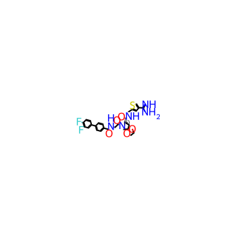 N=C(N)c1csc(CNC(=O)[C@@H]2CC3(CN2C(=O)CNC(=O)c2ccc(-c4ccc(F)c(F)c4)cc2)OCCO3)c1